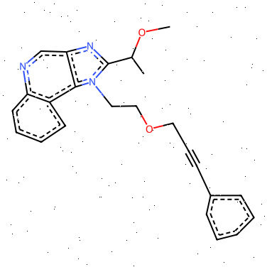 COC(C)c1nc2cnc3ccccc3c2n1CCOCC#Cc1ccccc1